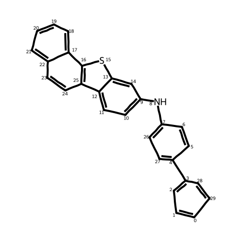 c1ccc(-c2ccc(Nc3ccc4c(c3)sc3c5ccccc5ccc43)cc2)cc1